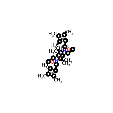 Cc1ccc([Si](c2ccc(C)cc2)(c2ccc(C)cc2)c2cccc(-c3ccc(N(c4cc(C(C)C)c5ccc6c(N(c7ccc(-c8cccc([Si](c9ccc(C)cc9)(c9ccc(C)cc9)c9ccc(C)cc9)c8)cc7)c7cccc8c7oc7ccccc78)cc(C(C)C)c7ccc4c5c76)c4cccc5c4oc4ccccc45)cc3)c2)cc1